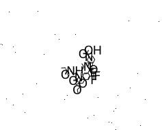 CCC(=O)NCCN1C(=O)C(C)(COC)Oc2cc(C(F)(F)F)c(C(=O)N(C(C)C)[C@@H]3CCCN(C(=O)O)C3)cc21